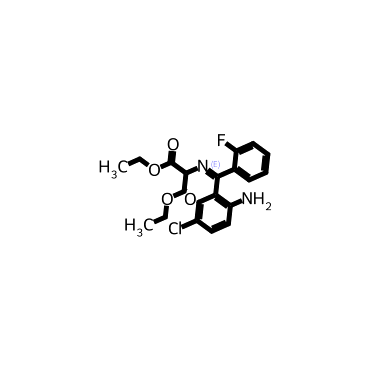 CCOC(=O)C(/N=C(\c1cc(Cl)ccc1N)c1ccccc1F)C(=O)OCC